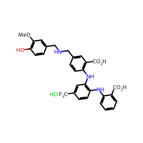 COc1cc(CNCc2ccc(Nc3cc(C(F)(F)F)ccc3Nc3ccccc3C(=O)O)c(C(=O)O)c2)ccc1O.Cl